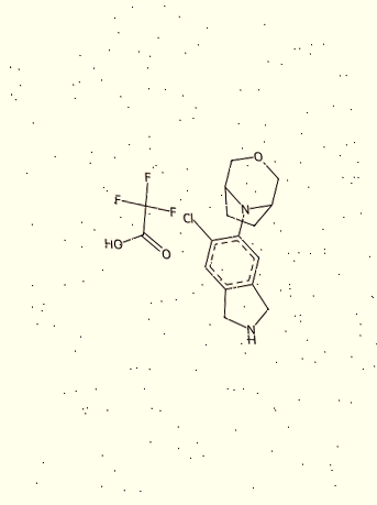 Clc1cc2c(cc1N1C3CCC1COC3)CNC2.O=C(O)C(F)(F)F